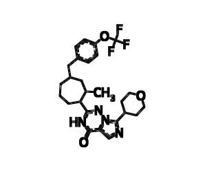 CC1CC(Cc2ccc(OC(F)(F)F)cc2)CCCC1c1nn2c(C3CCOCC3)ncc2c(=O)[nH]1